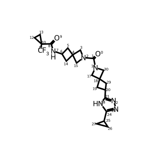 O=C(N1CC2(CC(NC(=O)C3(C(F)(F)F)CC3)C2)C1)N1CC2(CC(c3nnc(C4CC4)[nH]3)C2)C1